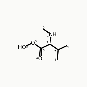 CN[C@H](C(=O)OO)C(C)C